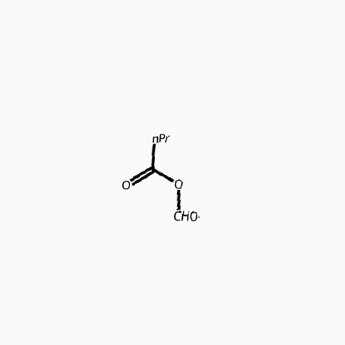 [CH2]CCC(=O)O[C]=O